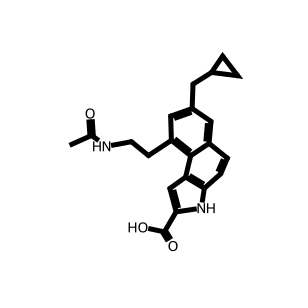 CC(=O)NCCc1cc(CC2CC2)cc2ccc3[nH]c(C(=O)O)cc3c12